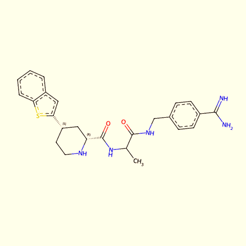 CC(NC(=O)[C@H]1C[C@@H](c2cc3ccccc3s2)CCN1)C(=O)NCc1ccc(C(=N)N)cc1